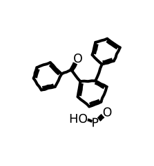 O=C(c1ccccc1)c1ccccc1-c1ccccc1.O=PO